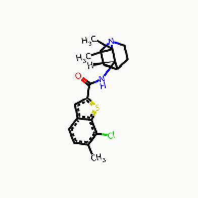 Cc1ccc2cc(C(=O)N[C@H]3C4CCN(CC4)C3(C)C)sc2c1Cl